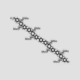 Bc1ccc(C2(OCOC)CCC(OCOC)(c3ccc(-c4ccc(C5(OCOC)CCC(OCOC)(c6ccc(-c7ccc(-c8ccc(C9(OCOC)CCC(OCOC)(c%10ccc(-c%11ccc(C%12(OCOC)CCC(OCOC)(c%13ccc(Br)cc%13)CC%12)cc%11)cc%10)CC9)cc8)cc7)cc6)CC5)cc4)cc3)CC2)cc1